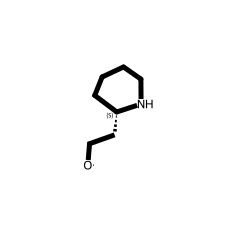 [O]CC[C@@H]1CCCCN1